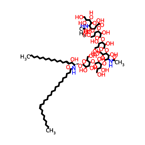 CCCCCCCC/C=C\CCCCCCCCCCCCCCCC(=O)N[C@@H](CO[C@@H]1OC(CO)[C@@H](O[C@@H]2OC(CO)[C@H](O)[C@H](O[C@@H]3OC(CO)[C@@H](O[C@@H]4OC(CO)[C@H](O)[C@H](O[C@@H]5OC(CO)[C@H](O)[C@H](O[C@]6(C(=O)O)CC(O)[C@@H](NC(C)=O)C([C@H](O)[C@H](O)CO)O6)C5O)C4O)[C@H](O)C3NC(C)=O)C2O)[C@H](O)C1O)[C@H](O)/C=C/CCCCCCCCCCCCC